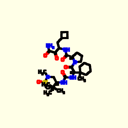 CN(C[C@@H](NC(=O)N[C@H](C(=O)N1CCC[C@H]1C(=O)NC(CC1CCC1)C(=O)C(N)=O)C1(C)CCCCC1)C(C)(C)C)[S+](C)[O-]